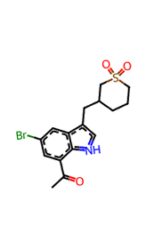 CC(=O)c1cc(Br)cc2c(CC3CCCS(=O)(=O)C3)c[nH]c12